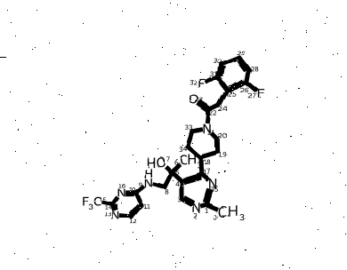 Cc1ncc(C(C)(O)CNc2ccnc(C(F)(F)F)n2)c(C2CCN(C(=O)Cc3c(F)cccc3F)CC2)n1